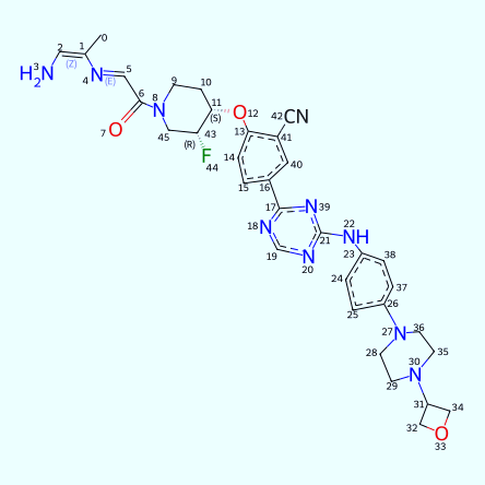 CC(=C/N)/N=C/C(=O)N1CC[C@H](Oc2ccc(-c3ncnc(Nc4ccc(N5CCN(C6COC6)CC5)cc4)n3)cc2C#N)[C@H](F)C1